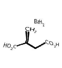 C=C(CC(=O)O)C(=O)O.[BaH2]